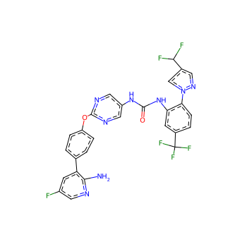 Nc1ncc(F)cc1-c1ccc(Oc2ncc(NC(=O)Nc3cc(C(F)(F)F)ccc3-n3cc(C(F)F)cn3)cn2)cc1